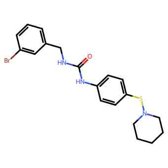 O=C(NCc1cccc(Br)c1)Nc1ccc(SN2CCCCC2)cc1